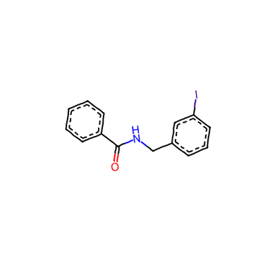 O=C(NCc1cccc(I)c1)c1ccccc1